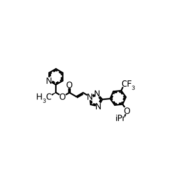 CC(C)Oc1cc(-c2ncn(/C=C/C(=O)O[C@@H](C)c3ccccn3)n2)cc(C(F)(F)F)c1